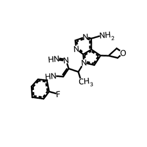 CC(/C(=C/Nc1ccccc1F)N=N)n1cc(C2COC2)c2c(N)ncnc21